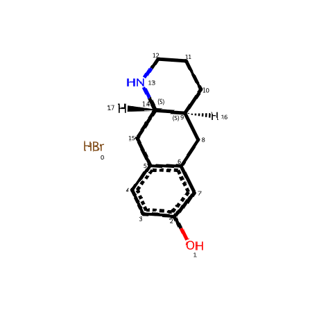 Br.Oc1ccc2c(c1)C[C@@H]1CCCN[C@H]1C2